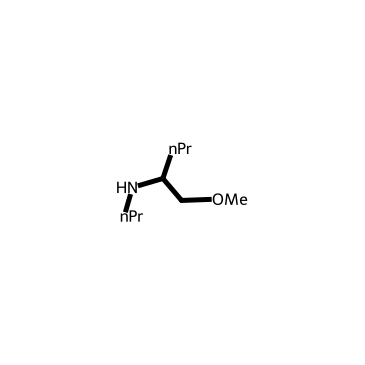 CCCNC(CCC)COC